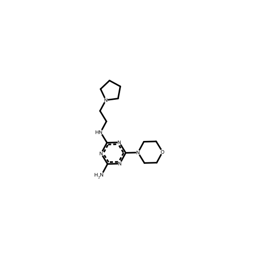 Nc1nc(NCCN2CCCC2)nc(N2CCOCC2)n1